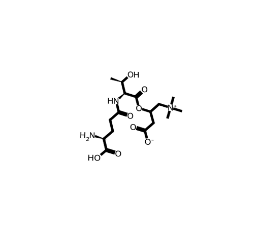 C[C@@H](O)[C@H](NC(=O)CC[C@H](N)C(=O)O)C(=O)OC(CC(=O)[O-])C[N+](C)(C)C